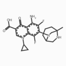 CC12CCCC(CN1)N(c1c(F)c(N)c3c(=O)c(C(=O)O)cn(C4CC4)c3c1F)C2